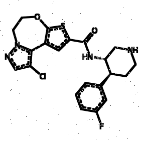 O=C(N[C@@H]1CNCC[C@H]1c1cccc(F)c1)c1cc2c(s1)OCCn1ncc(Cl)c1-2